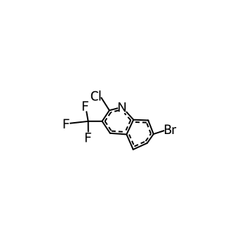 FC(F)(F)c1cc2ccc(Br)cc2nc1Cl